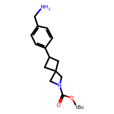 CC(C)(C)OC(=O)N1CC2(CC(c3ccc(CN)cc3)C2)C1